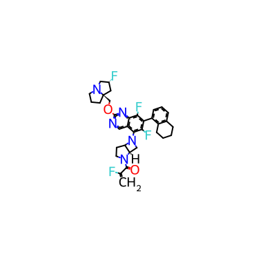 C=C(F)C(=O)N1CCC2[C@H]1CN2c1c(F)c(-c2cccc3c2CCCC3)c(F)c2nc(OC[C@@]34CCCN3C[C@H](F)C4)ncc12